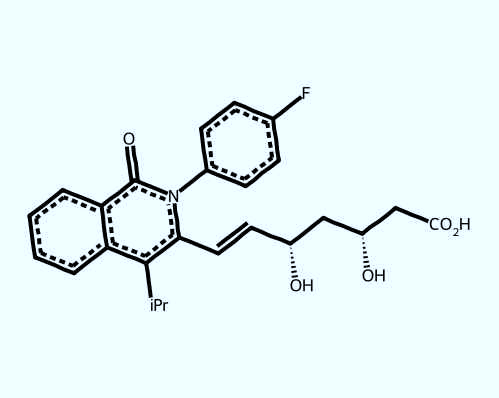 CC(C)c1c(C=C[C@@H](O)C[C@@H](O)CC(=O)O)n(-c2ccc(F)cc2)c(=O)c2ccccc12